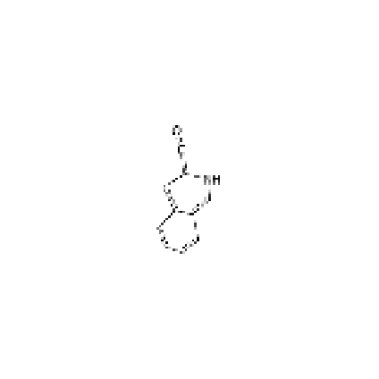 O=C=C1C=c2ccccc2=CN1